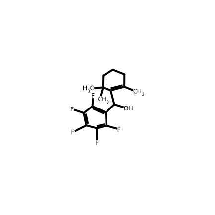 CC1=C(C(O)c2c(F)c(F)c(F)c(F)c2F)C(C)(C)CCC1